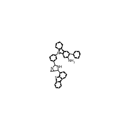 Nc1cc2c(cc1-c1ccccc1)c1ccccc1n2-c1cccc(C2NC(c3cccc4c3sc3ccccc34)C3CN23)c1